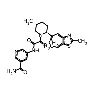 C=C(/C=c1/nc(C)s/c1=C/C)[C@@H]1CC[C@@H](C)CN1C(=O)C(=O)Nc1cncc(C(N)=O)c1